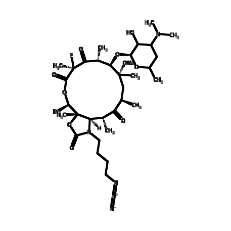 CC[C@H]1OC(=O)[C@@](C)(F)C(=O)[C@H](C)[C@@H](O[C@@H]2OC(C)CC(N(C)C)C2O)[C@](C)(OC)C[C@@H](C)C(=O)[C@H](C)[C@H]2N(CCCCN=[N+]=[N-])C(=O)O[C@]12C